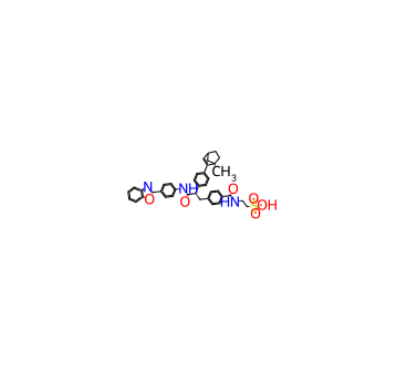 CC12CCC(C=C1c1ccc([C@@H](Cc3ccc(C(=O)NCCS(=O)(=O)O)cc3)C(=O)Nc3ccc(-c4nc5ccccc5o4)cc3)cc1)C2